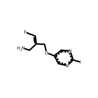 NC/C(=C\F)COc1cnc(I)nc1